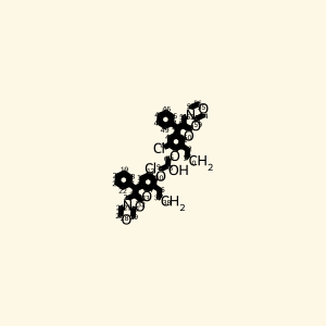 C=CCc1c(OCC(O)COc2c(Cl)cc3c(-c4ccccc4)c(CN4CCOCC4)c(=O)oc3c2CC=C)c(Cl)cc2c(-c3ccccc3)c(CN3CCOCC3)c(=O)oc12